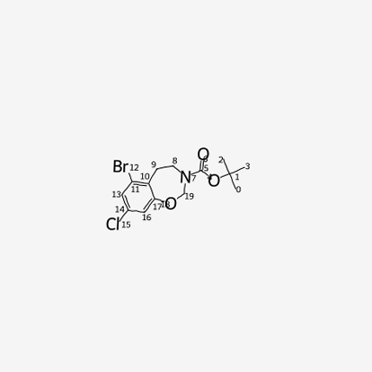 CC(C)(C)OC(=O)N1CCc2c(Br)cc(Cl)cc2OC1